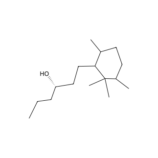 CCC[C@H](O)CCC1C(C)CCC(C)C1(C)C